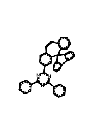 C1=Cc2ccc(-c3nc(-c4ccccc4)nc(-c4ccccc4)n3)cc2C2(c3ccccc31)c1ccccc1-c1ccccc12